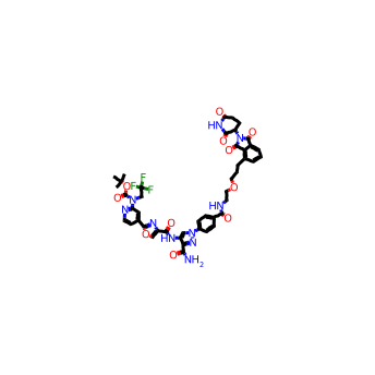 CC(C)(C)OC(=O)N(CC(F)(F)F)c1cc(-c2nc(C(=O)Nc3cn(-c4ccc(C(=O)NCCOCCCc5cccc6c5C(=O)N(C5CCC(=O)NC5=O)C6=O)cc4)nc3C(N)=O)co2)ccn1